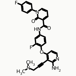 CN(C)CC#Cc1c(Oc2ccc(NC(=O)c3cccn(-c4ccc(F)cc4)c3=O)cc2F)ccnc1N